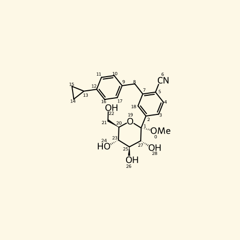 CO[C@@]1(c2ccc(C#N)c(Cc3ccc(C4CC4)cc3)c2)O[C@H](CO)[C@@H](O)[C@H](O)[C@H]1O